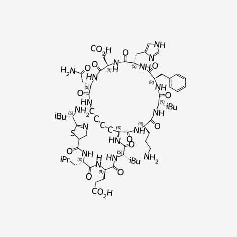 CCC(C)[C@H](N)C1=NCC(C(=O)N[C@@H](CC(C)C)C(=O)N[C@H](CCC(=O)O)C(=O)N[C@H](C(=O)N[C@H]2CCCCNC(=O)[C@H](CC(N)=O)NC(=O)[C@@H](CC(=O)O)NC(=O)[C@H](Cc3c[nH]cn3)NC(=O)[C@@H](Cc3ccccc3)NC(=O)[C@H](C(C)CC)NC(=O)[C@@H](CCCN)NC2=O)C(C)CC)S1